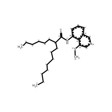 CCCCCCCCC(CCCCCC)C(=S)Nc1cccc2cncc(SC)c12